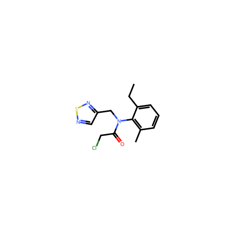 CCc1cccc(C)c1N(Cc1cnsn1)C(=O)CCl